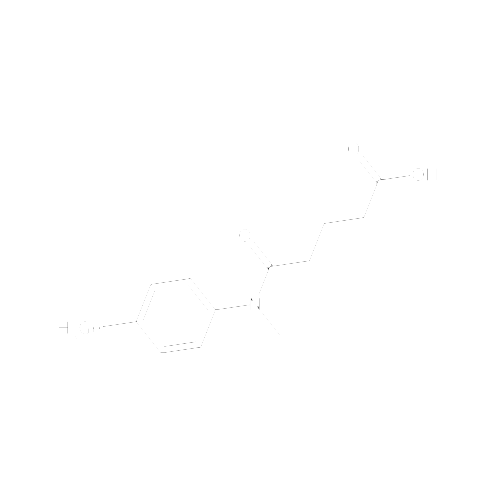 CN(C(=O)CCCC(=O)O)c1cc[c]([GeH3])cc1